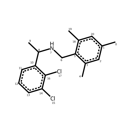 Cc1cc(C)c(CNC(C)c2cccc(Cl)c2Cl)c(C)c1